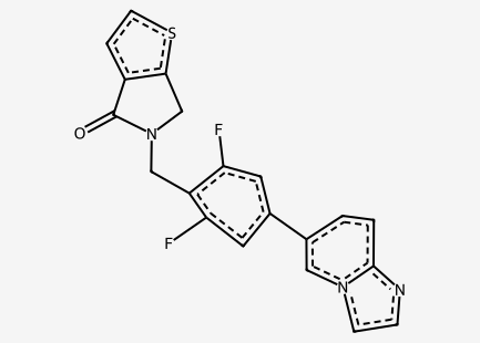 O=C1c2ccsc2CN1Cc1c(F)cc(-c2ccc3nccn3c2)cc1F